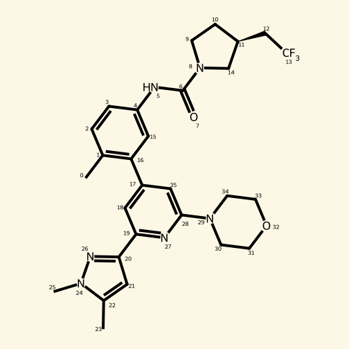 Cc1ccc(NC(=O)N2CC[C@@H](CC(F)(F)F)C2)cc1-c1cc(-c2cc(C)n(C)n2)nc(N2CCOCC2)c1